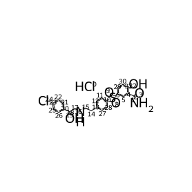 Cl.NC(=O)c1cc(S(=O)(=O)c2ccc(CCNC[C@@H](O)c3ccc(Cl)cc3)cc2)ccc1O